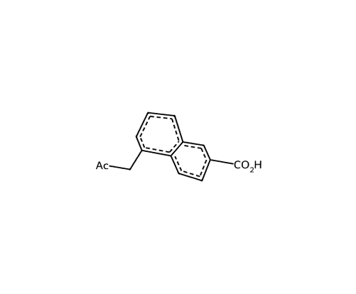 CC(=O)Cc1cccc2cc(C(=O)O)ccc12